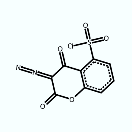 [N-]=[N+]=C1C(=O)Oc2cccc(S(=O)(=O)Cl)c2C1=O